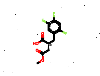 COC(=O)C[C@H](Cc1cc(F)c(F)cc1F)C(=O)O